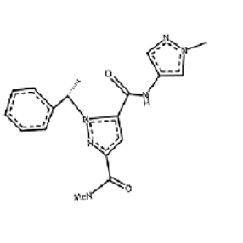 CNC(=O)c1cc(C(=O)Nc2cnn(C)c2)n([C@@H](C)c2ccccc2)n1